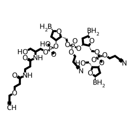 B[C@H]1C[C@@H](OP(=O)(O)OCC(CO)NC(=O)CCNC(=O)CCOCC#C)[C@@H](COP(=O)(OCCC#N)O[C@@H]2C[C@H](B)O[C@@H]2COP(=O)(OCCC#N)O[C@@H]2C[C@H](B)O[C@@H]2CO)O1